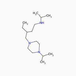 CCC(CCNC(C)C)CN1CCN(C(C)C)CC1